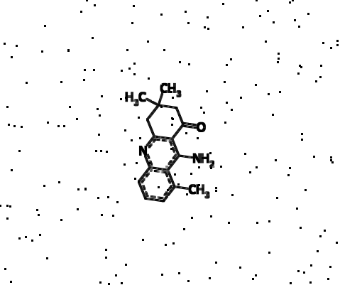 Cc1cccc2nc3c(c(N)c12)C(=O)CC(C)(C)C3